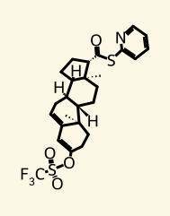 C[C@]12CC[C@H]3[C@@H](CC=C4C=C(OS(=O)(=O)C(F)(F)F)CC[C@@]43C)[C@@H]1CC[C@@H]2C(=O)Sc1ccccn1